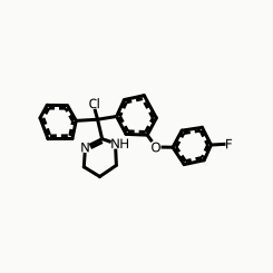 Fc1ccc(Oc2cccc(C(Cl)(C3=NCCCN3)c3ccccc3)c2)cc1